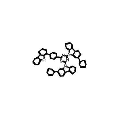 c1ccc(-c2ccc3c4ccccc4n(-c4nc(-c5ccc(-c6cccc7c6oc6ccccc67)cc5)nc(-n5c6ccccc6c6ccc(-c7ccccc7)cc65)n4)c3c2)cc1